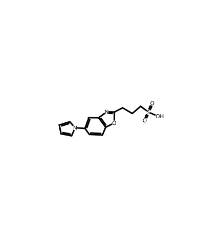 O=S(=O)(O)CCCc1nc2[c]c(-n3cccc3)ccc2o1